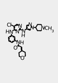 CN1CCC(n2cc(Nc3ncc(Cl)c(Nc4cccc(NC(=O)C=C5CCOCC5)c4)n3)cn2)CC1